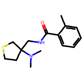 Cc1ccccc1C(=O)NCC1(N(C)C)CCSC1